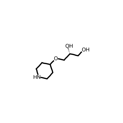 OC[C@@H](O)COC1CCNCC1